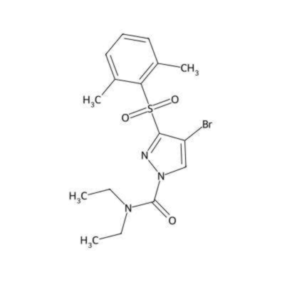 CCN(CC)C(=O)n1cc(Br)c(S(=O)(=O)c2c(C)cccc2C)n1